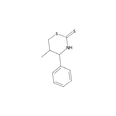 CC1CSC(=S)NC1c1ccccc1